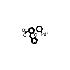 O=C([O-])c1cccc2c1Cc1ccccc1O2.[Pd+][CH]1CCCCC1